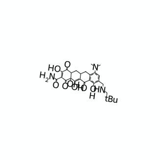 CN(C)c1cc(CNCC(C)(C)C)c(O)c2c1CC1CC3C(=O)C(O)=C(C(N)=O)C(=O)[C@@]3(O)C(O)=C1C2=O